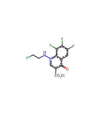 CCOC(=O)c1cn(NCCF)c2c(F)c(F)c(F)cc2c1=O